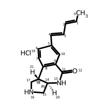 CC=CC=Cc1ccc2c(c1)C(=O)N[C@H]1CNC[C@H]21.Cl